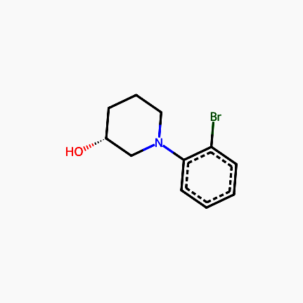 O[C@@H]1CCCN(c2ccccc2Br)C1